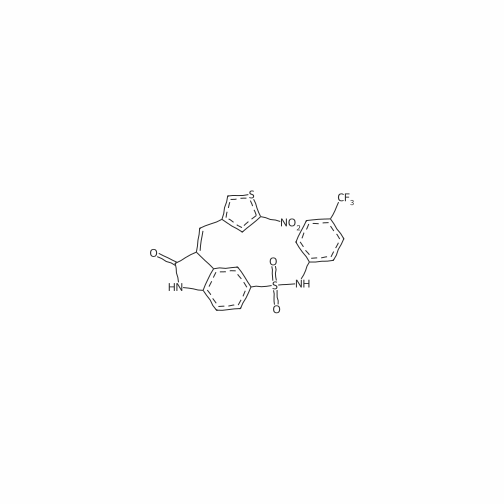 O=C1Nc2ccc(S(=O)(=O)Nc3ccc(C(F)(F)F)cc3)cc2C1=Cc1csc([N+](=O)[O-])c1